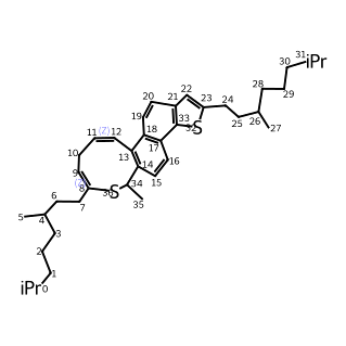 CC(C)CCCC(C)CC/C1=C/C/C=C\c2c(ccc3c2ccc2cc(CCC(C)CCCC(C)C)sc23)C(C)S1